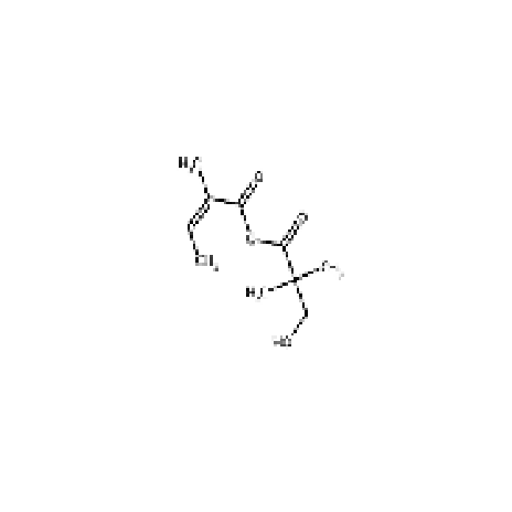 CC=C(C)C(=O)OC(=O)C(C)(C)CO